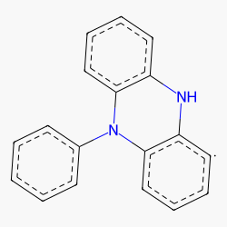 [c]1cccc2c1Nc1ccccc1N2c1ccccc1